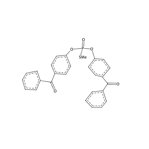 CSP(=O)(Oc1ccc(C(=O)c2ccccc2)cc1)Oc1ccc(C(=O)c2ccccc2)cc1